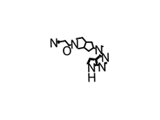 CN(c1ncnc2[nH]ccc12)C1CC2CCN(C(=O)CC#N)CC2C1